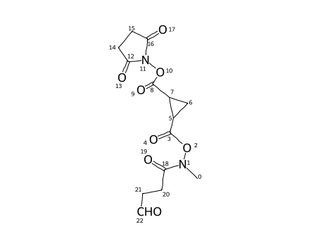 CN(OC(=O)C1CC1C(=O)ON1C(=O)CCC1=O)C(=O)CCC=O